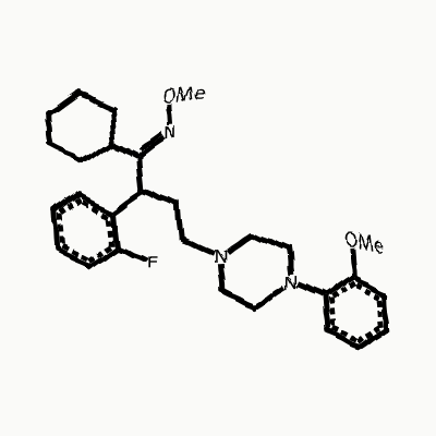 CO/N=C(\C1CCCCC1)C(CCN1CCN(c2ccccc2OC)CC1)c1ccccc1F